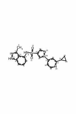 Cc1n[nH]c2cccc(NS(=O)(=O)c3cnn(-c4ccnc(C5CC5)c4)c3)c12